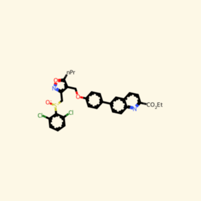 CCCc1onc(C[S+]([O-])c2c(Cl)cccc2Cl)c1COc1ccc(-c2ccc3nc(C(=O)OCC)ccc3c2)cc1